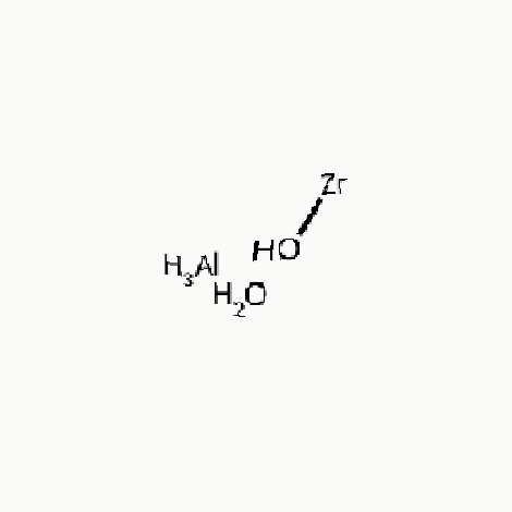 O.[AlH3].[OH][Zr]